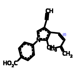 C#Cc1cn(-c2ccc(C(=O)O)cc2)c(C)c1/C=C\C(=C)CC